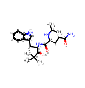 CC(C)N[C@@H](CCC(N)=O)C(=O)NC(Cc1c[nH]c2ccccc12)C(=O)C(C)(C)C